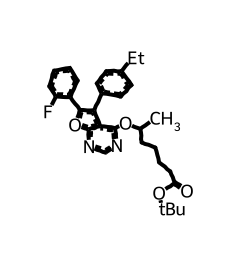 CCc1ccc(-c2c(-c3ccccc3F)oc3ncnc(OC(C)CCCCC(=O)OC(C)(C)C)c23)cc1